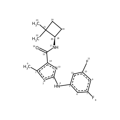 Cc1sc(Nc2cc(F)cc(F)c2)nc1C(=O)N[C@@H]1CCC1(C)C